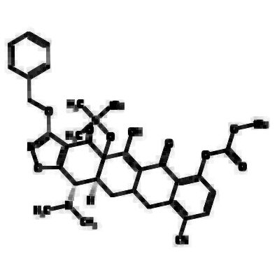 CN(C)[C@@H]1c2onc(OCc3ccccc3)c2C(=O)C2(O[Si](C)(C)C(C)(C)C)C(O)=C3C(=O)c4c(OC(=O)OC(C)(C)C)ccc(C#N)c4CC3C[C@@H]12